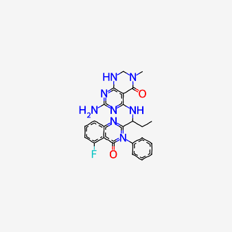 CCC(Nc1nc(N)nc2c1C(=O)N(C)CN2)c1nc2cccc(F)c2c(=O)n1-c1ccccc1